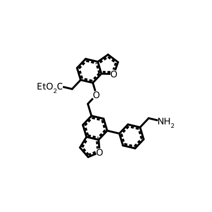 CCOC(=O)Cc1ccc2ccoc2c1OCc1cc(-c2cccc(CN)c2)c2occc2c1